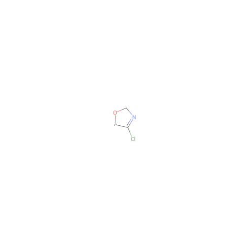 ClC1=NCO[C]1